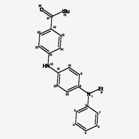 CCN(c1ccccc1)c1ccc(Nc2ccc(C(=O)C(C)(C)C)cc2)cc1